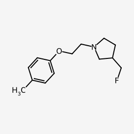 Cc1ccc(OCCN2CCC(CF)C2)cc1